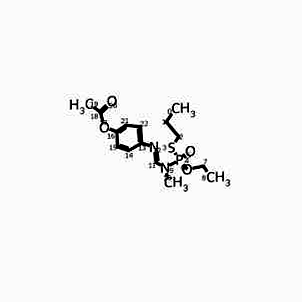 CCCSP(=O)(OCC)N(C)C=Nc1ccc(OC(C)=O)cc1